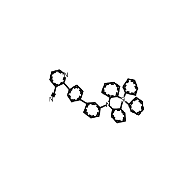 N#Cc1cccnc1-c1ccc(-c2cccc(N3c4ccccc4[Si](c4ccccc4)(c4ccccc4)c4ccccc43)c2)cc1